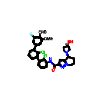 COc1cc(-c2cccc(-c3cccc(NC(=O)c4cc5n(n4)CCCC5N4CC[C@@H](O)C4)c3Cl)c2Cl)cc(F)c1C=O